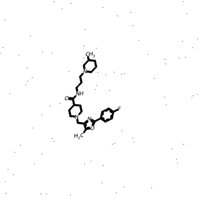 Cc1oc(-c2ccc(F)cc2)nc1CN1CCC(C(=O)NCCCN2CCCC(C)C2)CC1